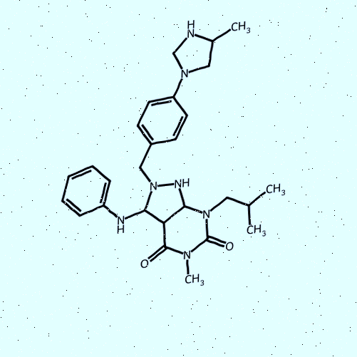 CC(C)CN1C(=O)N(C)C(=O)C2C(Nc3ccccc3)N(Cc3ccc(N4CNC(C)C4)cc3)NC21